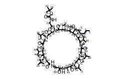 C/C=C/C[C@@H](C)[C@@H](O)C1C(=O)N[C@@H](CC)C(=O)N(C)C(OCCNC(=O)OC(C)(C)C)C(=O)N(C)[C@@H](CC(C)C)C(=O)N[C@@H](C(C)C)C(=O)N(C)[C@@H](CC(C)C)C(=O)N[C@@H](C)C(=O)N[C@H](C)C(=O)N(C)[C@@H](CC(C)C)C(=O)N(C)[C@@H](CC(C)C)C(=O)N(C)[C@@H](C(C)C)C(=O)N1C